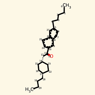 CCCCCc1ccc2cc(C(=O)C[C@H]3CC[C@H](CCCC)CC3)ccc2c1